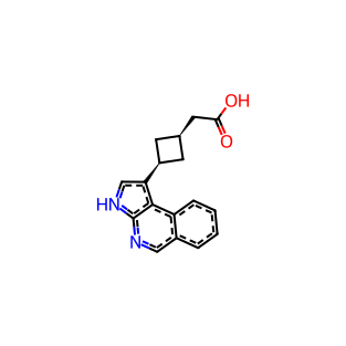 O=C(O)C[C@H]1C[C@@H](c2c[nH]c3ncc4ccccc4c32)C1